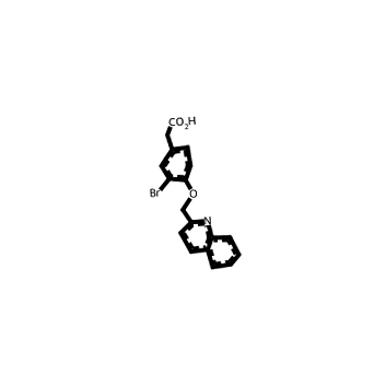 O=C(O)Cc1ccc(OCc2ccc3ccccc3n2)c(Br)c1